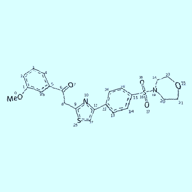 COc1cccc(C(=O)Cc2nc(-c3ccc(S(=O)(=O)N4CCOCC4)cc3)cs2)c1